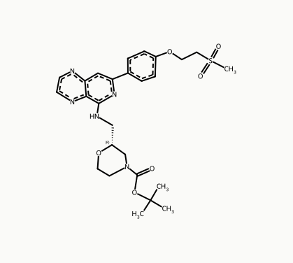 CC(C)(C)OC(=O)N1CCO[C@H](CNc2nc(-c3ccc(OCCS(C)(=O)=O)cc3)cc3nccnc23)C1